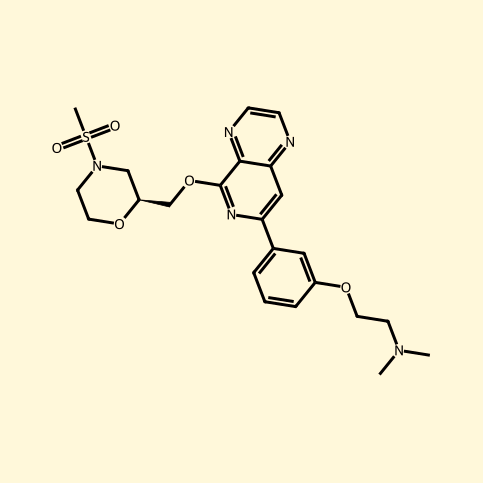 CN(C)CCOc1cccc(-c2cc3nccnc3c(OC[C@@H]3CN(S(C)(=O)=O)CCO3)n2)c1